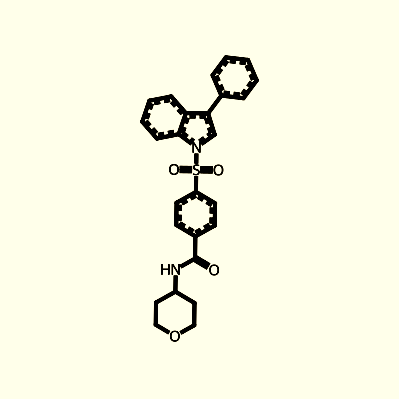 O=C(NC1CCOCC1)c1ccc(S(=O)(=O)n2cc(-c3ccccc3)c3ccccc32)cc1